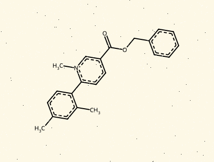 Cc1ccc(-c2ccc(C(=O)OCc3ccccc3)c[n+]2C)c(C)c1